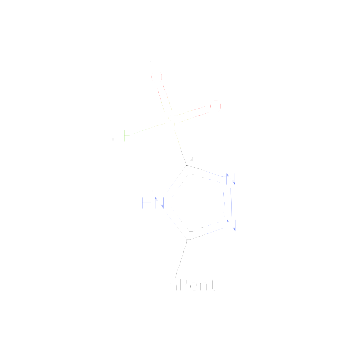 CCCCCc1nnc(S(=O)(=O)F)[nH]1